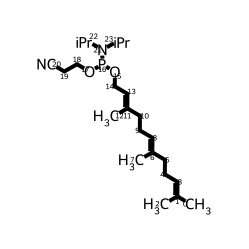 CC(C)=CCC/C(C)=C/CC/C(C)=C/COP(OCCC#N)N(C(C)C)C(C)C